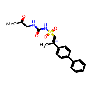 COC(=O)CNC(=O)NS(=O)(=O)/C=C(\C)c1ccc(-c2ccccc2)cc1